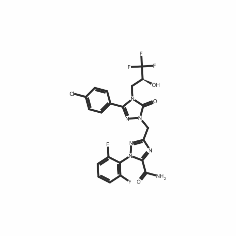 NC(=O)c1nc(Cn2nc(-c3ccc(Cl)cc3)n(C[C@H](O)C(F)(F)F)c2=O)nn1-c1c(F)cccc1F